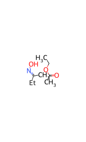 CCC(C)=NO.CCOC(C)=O